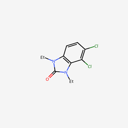 CCn1c(=O)n(CC)c2c(Cl)c(Cl)ccc21